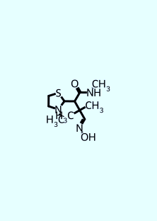 CNC(=O)C(C1SCCN1C)C(C)(C)C=NO